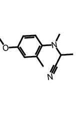 COc1ccc(N(C)C(C)C#N)c(C)c1